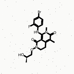 Cc1c2c(c(Nc3ccc(Br)cc3F)n(C)c1=O)C(=O)N(OC[C@@H](C)O)CC2